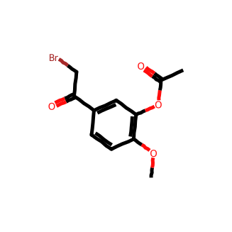 COc1ccc(C(=O)CBr)cc1OC(C)=O